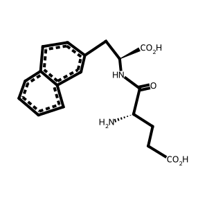 N[C@@H](CCC(=O)O)C(=O)N[C@@H](Cc1ccc2ccccc2c1)C(=O)O